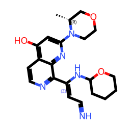 C[C@@H]1COCCN1c1cc(O)c2ccnc(/C(=C/C=N)NC3CCCCO3)c2n1